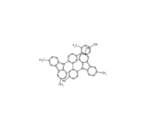 Cc1ccc2c(c1)c1cc(C)ccc1n2-c1ccc(C#N)cc1-c1cc(-c2ccc(C#N)cc2C(F)(F)F)ccc1-n1c2ccc(C)cc2c2cc(C)ccc21